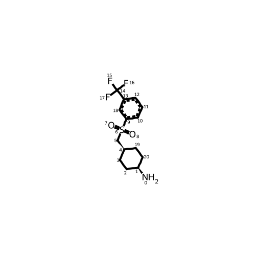 N[C@H]1CC[C@@H](CS(=O)(=O)c2cccc(C(F)(F)F)c2)CC1